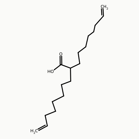 C=CCCCCCCC(CCCCCCC=C)C(=O)O